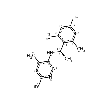 Cc1cc(C(C)C)nnc1N[C@H](C)c1c(C)cc(F)cc1C